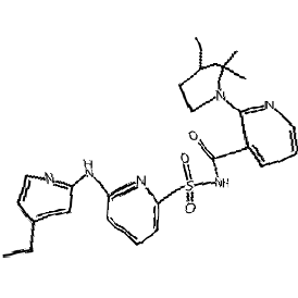 CCc1ccnc(Nc2cccc(S(=O)(=O)NC(=O)c3cccnc3N3CCC(C)C3(C)C)n2)c1